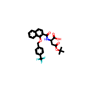 CC(C)(C)OC(=O)CC(NC(=O)c1ccc2ccccc2c1OCc1ccc(C(F)(F)F)cc1)C(=O)O